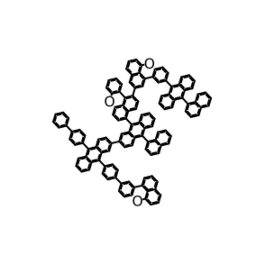 c1ccc(-c2ccc(-c3c4ccccc4c(-c4ccc(-c5ccc6c(c5)-c5cccc7cccc(c57)O6)cc4)c4cc(-c5ccc6c(-c7cccc8ccccc78)c7ccccc7c(-c7ccc8c9c(c(-c%10cc%11c%12c(cccc%12c%10)Oc%10ccc(-c%12c%13ccccc%13c(-c%13cccc%14ccccc%13%14)c%13ccccc%12%13)cc%10-%11)ccc79)-c7ccccc7O8)c6c5)ccc34)cc2)cc1